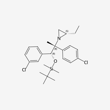 CC[C@H]1CN1[C@](C)(c1ccc(Cl)cc1)[C@H](O[Si](C)(C)C(C)(C)C)c1cccc(Cl)c1